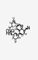 C[C@H]1C[C@@H](NS(=O)(=O)CCCN(C)C)CN(c2ccc(C#N)c3ncccc23)C1